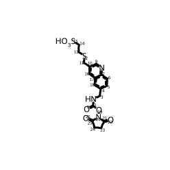 O=C(NCc1ccc2ncc(CSCCS(=O)(=O)O)cc2c1)ON1C(=O)CCC1=O